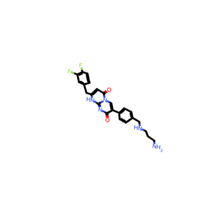 NCCCNCc1ccc(-c2cn3c(=O)cc(Cc4ccc(F)c(F)c4)[nH]c3nc2=O)cc1